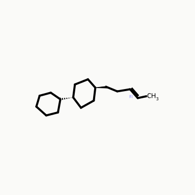 C/C=C/CC[C@H]1CC[C@H]([C]2CCCCC2)CC1